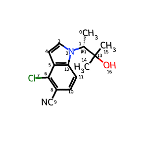 C[C@@H](n1ccc2c(Cl)c(C#N)ccc21)C(C)(C)O